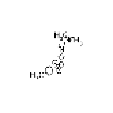 Cc1ccc(S(=O)(=O)OC2CC(N3CC[C@@H](N(C)C)C3)C2)cc1